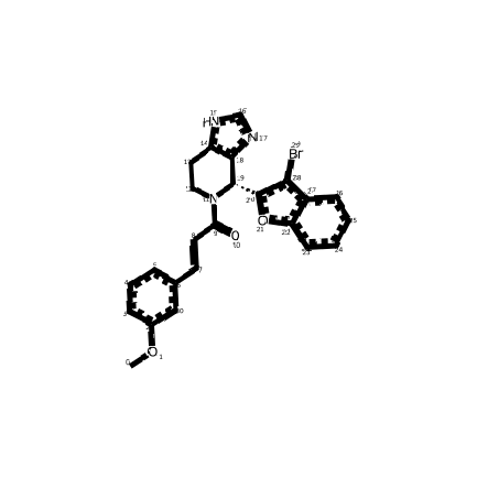 COc1cccc(/C=C/C(=O)N2CCc3[nH]cnc3[C@@H]2c2oc3ccccc3c2Br)c1